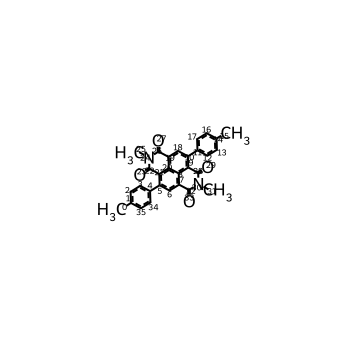 Cc1ccc(-c2cc3c4c(c(-c5ccc(C)cc5)cc5c4c2C(=O)N(C)C5=O)C(=O)N(C)C3=O)cc1